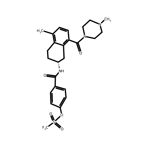 Cc1ccc(C(=O)N2CCN(C)CC2)c2c1CC[C@@H](NC(=O)c1ccc(OS(=O)(=O)C(F)(F)F)cc1)C2